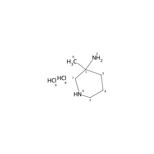 CC1(N)CCCNC1.Cl.Cl